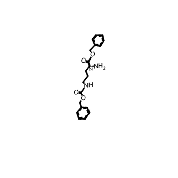 N[C@@H](CCCNC(=O)OCc1ccccc1)C(=O)OCc1ccccc1